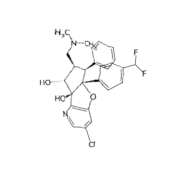 CN(C)C[C@@H]1[C@@H](O)[C@@]2(O)c3ncc(Cl)cc3O[C@@]2(c2ccc(C(F)F)cc2)[C@@H]1c1ccccc1